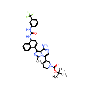 Cc1nc(-c2ccc(NC(=O)Nc3cccc(C(F)(F)F)c3)c3ccccc23)c2c(N)ncc(C3=CCCN(C(=O)OC(C)(C)C)C3)n12